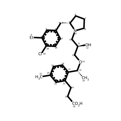 CCc1cc(C[C@@H]2CCCN2C[C@@H](O)CO[C@H](C)c2ccc(C)cc2CCC(=O)O)ccc1Cl